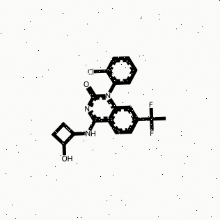 CC(F)(F)c1ccc2c(NC3CCC3O)nc(=O)n(-c3ccccc3Cl)c2c1